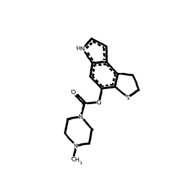 CN1CCN(C(=O)Oc2cc3[nH]ccc3c3c2SCC3)CC1